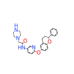 O=C(CN1CCNCC1)Nc1ccc(Oc2ccc3c(c2)CCC(c2ccccc2)O3)nc1